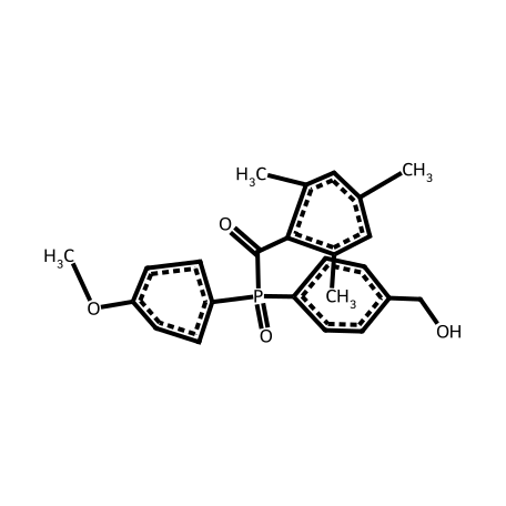 COc1ccc(P(=O)(C(=O)c2c(C)cc(C)cc2C)c2ccc(CO)cc2)cc1